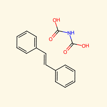 C(=Cc1ccccc1)c1ccccc1.O=C(O)NC(=O)O